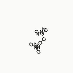 c1ccc(-c2nc(-c3ccccc3)nc(-c3ccc(-c4cccc(-c5cc(-c6ccccn6)nc(-c6ccccn6)c5)c4)cc3)n2)cc1